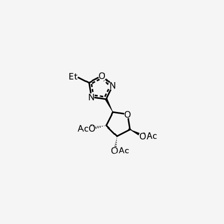 CCc1nc([C@H]2O[C@@H](OC(C)=O)[C@H](OC(C)=O)[C@@H]2OC(C)=O)no1